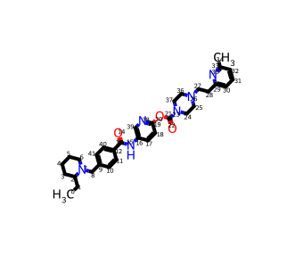 CCC1CCCCN1Cc1ccc(C(=O)Nc2ccc(OC(=O)N3CCN(CCc4cccc(C)n4)CC3)nc2)cc1